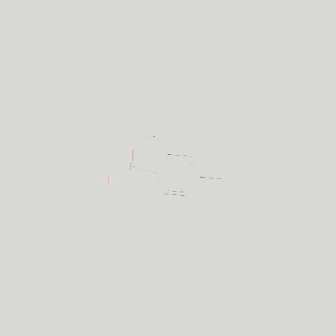 CCc1ccc2c(c1)COB2O